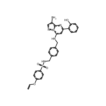 Bc1cnn2c(NCc3ccc(CNS(=O)(=O)c4ccc(OC=C)cc4)cc3)cc(-c3ccccc3O)nc12